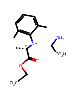 Cc1cccc(C)c1N[C@@H](C)C(=O)OCC(Cl)(Cl)Cl.NCC(=O)O